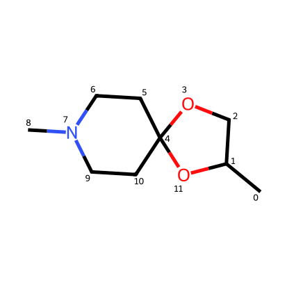 CC1COC2(CCN(C)CC2)O1